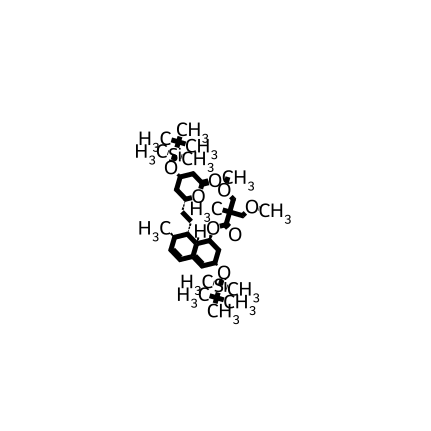 COCC(C)(COC)C(=O)O[C@H]1C[C@H](O[Si](C)(C)C(C)(C)C)C=C2C=C[C@H](C)[C@H](CC[C@@H]3C[C@@H](O[Si](C)(C)C(C)(C)C)CC(=O)O3)[C@H]21